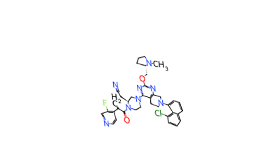 C=C(C(=O)N1CCN(c2nc(OC[C@@H]3CCCN3C)nc3c2CCN(c2cccc4cccc(Cl)c24)C3)C[C@@H]1CC#N)c1ccncc1F